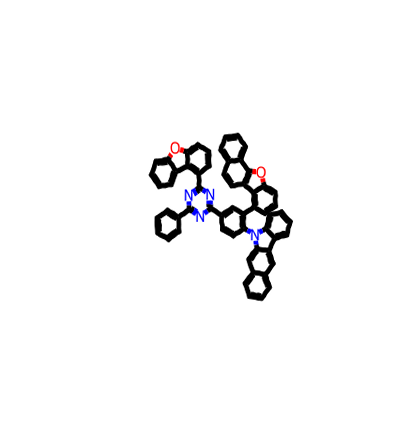 c1ccc(-c2nc(-c3ccc(-n4c5ccccc5c5cc6ccccc6cc54)c(-c4cccc5oc6c7ccccc7ccc6c45)c3)nc(-c3cccc4oc5ccccc5c34)n2)cc1